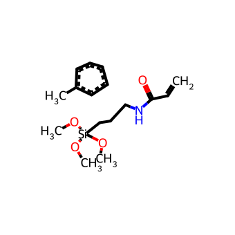 C=CC(=O)NCCC[Si](OC)(OC)OC.Cc1ccccc1